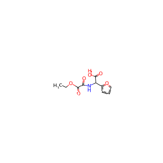 CCOC(=O)C(=O)NC(C(=O)O)c1ccco1